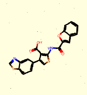 O=C(Nc1scc(-c2ccc3scnc3c2)c1C(=O)O)c1cc2ccccc2o1